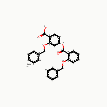 O=C([O-])c1ccccc1OCc1ccccc1.O=C([O-])c1ccccc1OCc1ccccc1.[Zn+2]